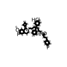 COc1cc2c(cc1F)CCN(CCCC(CCCNC(=O)CCc1ccc(F)cc1)(c1ccccc1)c1ccccc1)C2C1CCC1.Cl